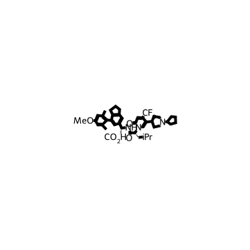 COc1cc(C)c(-c2cc([C@@H](CC(=O)O)NC(=O)[C@@H](CC(C)C)n3cc(C4CCN(C5CCCC5)CC4)c(C(F)(F)F)cc3=O)cc3c2CCC3)c(C)c1